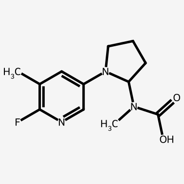 Cc1cc(N2CCCC2N(C)C(=O)O)cnc1F